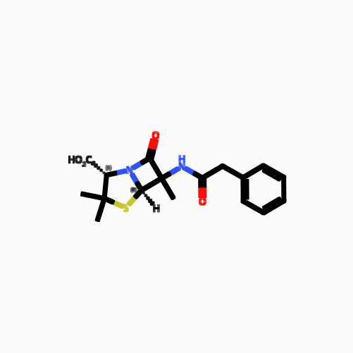 CC1(C)S[C@H]2N(C(=O)C2(C)NC(=O)Cc2ccccc2)[C@H]1C(=O)O